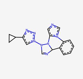 C1=NC2c3ccccc3-n3cncc3N2N1n1cc(C2CC2)nn1